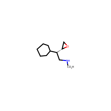 O=C(O)NCC(C1CCCCC1)[C@@H]1CO1